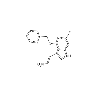 O=[N+]([O-])C=Cc1c[nH]c2cc(F)cc(OCc3ccccc3)c12